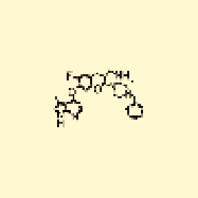 Cc1c[nH]c2nccc(Oc3ccc(CC(CN)C(=O)N4CCN(Cc5ccccc5)CC4)cc3F)c12